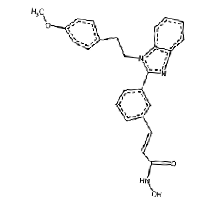 COc1ccc(CCn2c(-c3cccc(/C=C/C(=O)NO)c3)nc3ccccc32)cc1